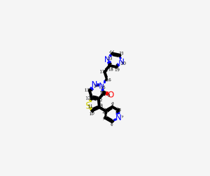 O=c1c2c(-c3ccncc3)csc2cnn1CCc1cnccn1